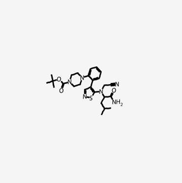 CC(C)CC(C(N)=O)N(CC#N)c1sncc1-c1ccccc1N1CCN(C(=O)OC(C)(C)C)CC1